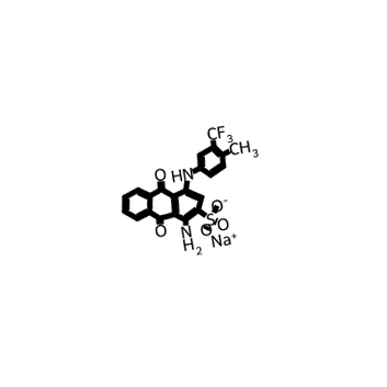 Cc1ccc(Nc2cc(S(=O)(=O)[O-])c(N)c3c2C(=O)c2ccccc2C3=O)cc1C(F)(F)F.[Na+]